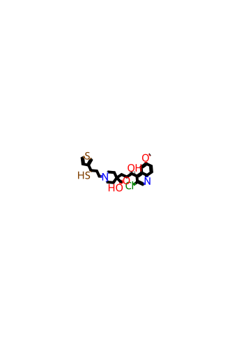 COc1ccc2ncc(Cl)c([C@@H](O)CCC3(C(=O)O)CCN(CCC(S)c4ccsc4)CC3)c2c1